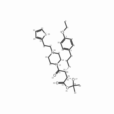 CCOc1ccc(CCC[C@@H](C(=O)N2CCN(CCc3cccs3)CC2)[C@@H]2OC(C)(C)OC2=O)cc1